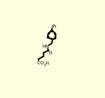 CC(C)c1ccc(CNC(=O)CCCC(=O)O)cc1